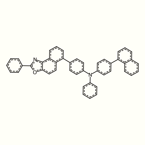 c1ccc(-c2nc3c(ccc4c(-c5ccc(N(c6ccccc6)c6ccc(-c7cccc8ccccc78)cc6)cc5)cccc43)o2)cc1